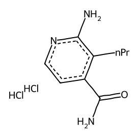 CCCc1c(C(N)=O)ccnc1N.Cl.Cl